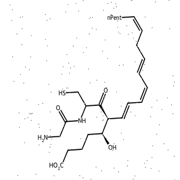 CCCCC/C=C\C/C=C/C=C\C=C\[C@H](C(=O)C(CS)NC(=O)CN)[C@@H](O)CCCC(=O)O